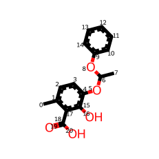 Cc1ccc(OC(C)Oc2ccccc2)c(O)c1C(=O)O